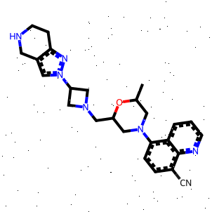 CC1CN(c2ccc(C#N)c3ncccc23)CC(CN2CC(n3cc4c(n3)CCNC4)C2)O1